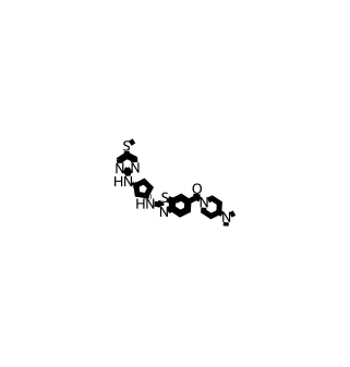 CSc1cnc(N[C@H]2CC[C@H](Nc3nc4ccc(C(=O)N5CCC(N(C)C)CC5)cc4s3)C2)nc1